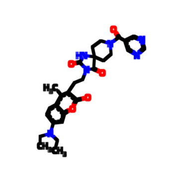 CCN(CC)c1ccc2c(C)c(CCN3C(=O)NC4(CCN(C(=O)c5cncnc5)CC4)C3=O)c(=O)oc2c1